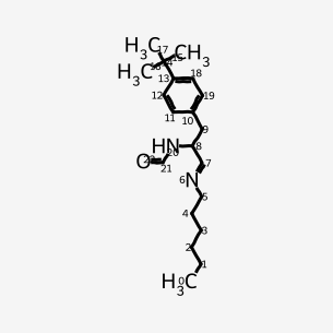 CCCCCCN=CC(Cc1ccc(C(C)(C)C)cc1)NC=O